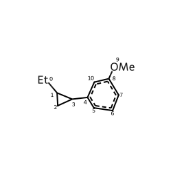 CCC1CC1c1cccc(OC)c1